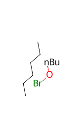 CCCCCC.CCCCOBr